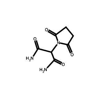 NC(=O)C(C(N)=O)N1C(=O)CCC1=O